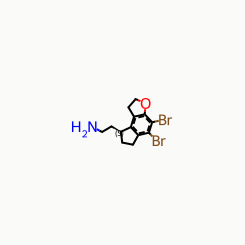 NCC[C@@H]1CCc2c(Br)c(Br)c3c(c21)CCO3